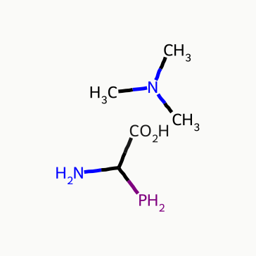 CN(C)C.NC(P)C(=O)O